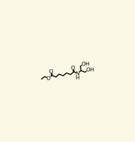 CCOC(=O)CCCCCC(=O)NC(CO)CO